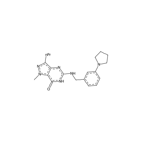 CCCc1nn(C)c2c(=O)[nH]c(NCc3cccc(N4CCCC4)c3)nc12